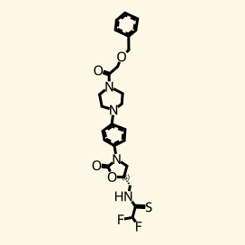 O=C(COCc1ccccc1)N1CCN(c2ccc(N3C[C@H](CNC(=S)C(F)F)OC3=O)cc2)CC1